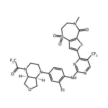 CCc1cc(N2CCN(C(=O)C(F)(F)F)[C@@H]3COC[C@@H]32)ccc1Nc1ncc(C(F)(F)F)c(-c2cc3c(s2)C(=O)N(C)CCS3(=O)=O)n1